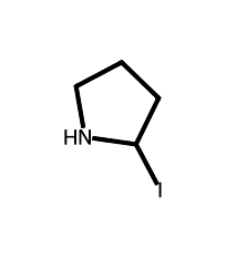 IC1CCCN1